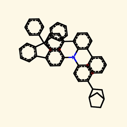 c1ccc(-c2cccc(-c3ccccc3)c2N(c2ccc(C3CC4CCC3C4)cc2)c2ccc3c(c2)C(c2ccccc2)(c2ccccc2)c2ccccc2-3)cc1